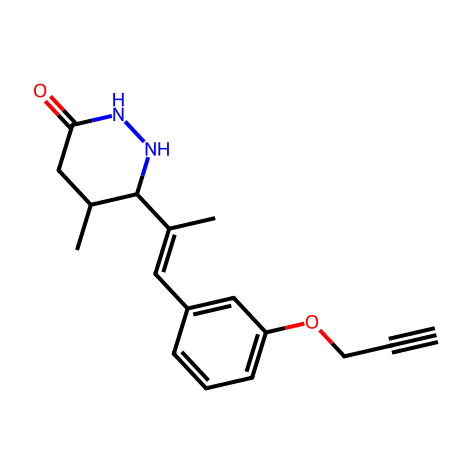 C#CCOc1cccc(/C=C(\C)C2NNC(=O)CC2C)c1